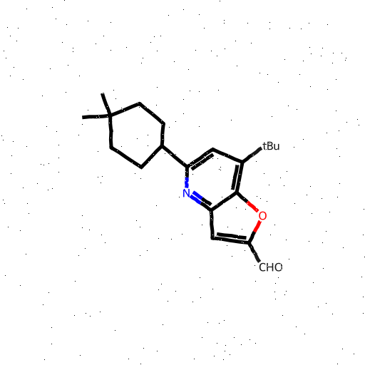 CC1(C)CCC(c2cc(C(C)(C)C)c3oc(C=O)cc3n2)CC1